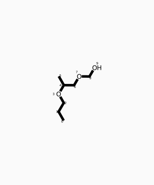 CCCOC(C)COCO